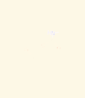 CNC(=O)OC1=CC=CCC1=O